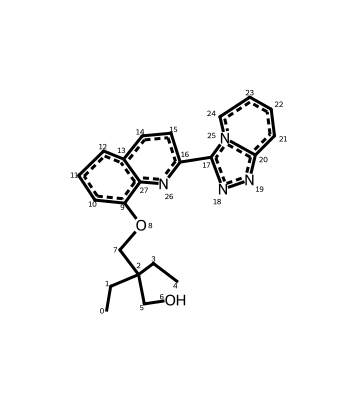 CCC(CC)(CO)COc1cccc2ccc(-c3nnc4ccccn34)nc12